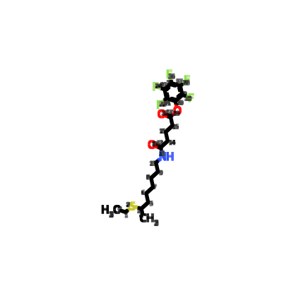 CCSC(C)CCCCCCNC(=O)CCCC(=O)Oc1c(F)c(F)c(F)c(F)c1F